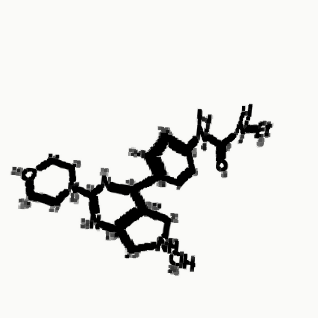 CCNC(=O)Nc1ccc(-c2nc(N3CCOCC3)nc3c2CNC3)cc1.Cl